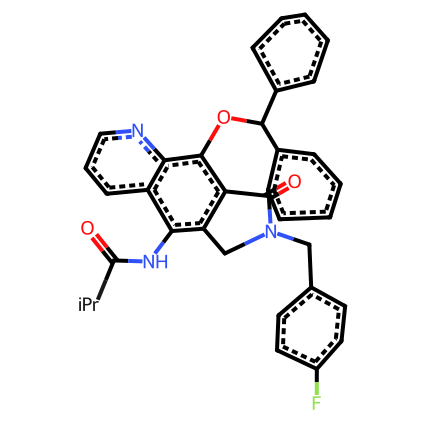 CC(C)C(=O)Nc1c2c(c(OC(c3ccccc3)c3ccccc3)c3ncccc13)C(=O)N(Cc1ccc(F)cc1)C2